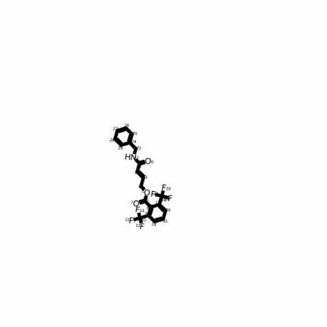 O=C(C=CCOC(=O)c1c(C(F)(F)F)cccc1C(F)(F)F)NCc1ccccc1